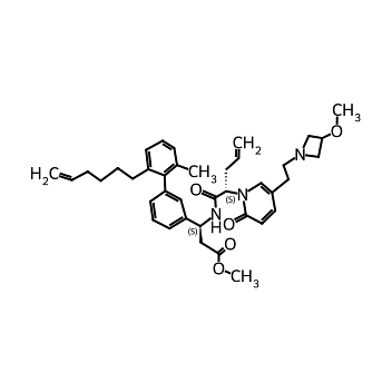 C=CCCCCc1cccc(C)c1-c1cccc([C@H](CC(=O)OC)NC(=O)[C@H](CC=C)n2cc(CCN3CC(OC)C3)ccc2=O)c1